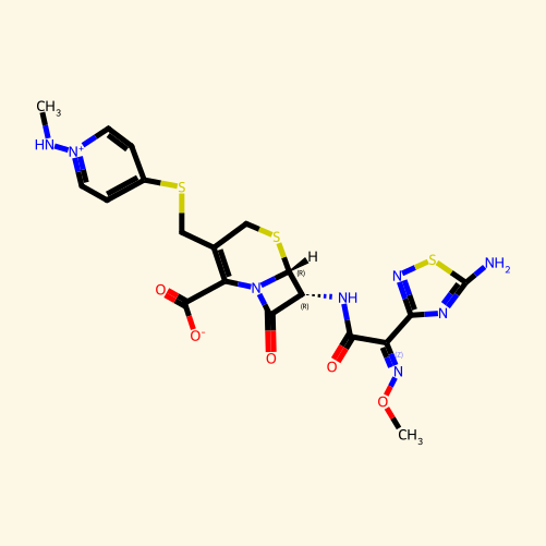 CN[n+]1ccc(SCC2=C(C(=O)[O-])N3C(=O)[C@@H](NC(=O)/C(=N\OC)c4nsc(N)n4)[C@H]3SC2)cc1